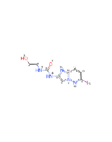 O=C(NCCO)Nc1cn2nc(I)ccc2n1